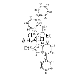 CCC1=Cc2c(-c3ccccc3)cccc2[CH]1[Zr]([CH3])([Cl])([Cl])[CH]1C(CC)=Cc2c(-c3ccccc3)cccc21.[AlH3]